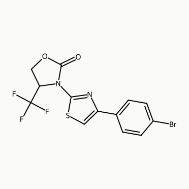 O=C1OCC(C(F)(F)F)N1c1nc(-c2ccc(Br)cc2)cs1